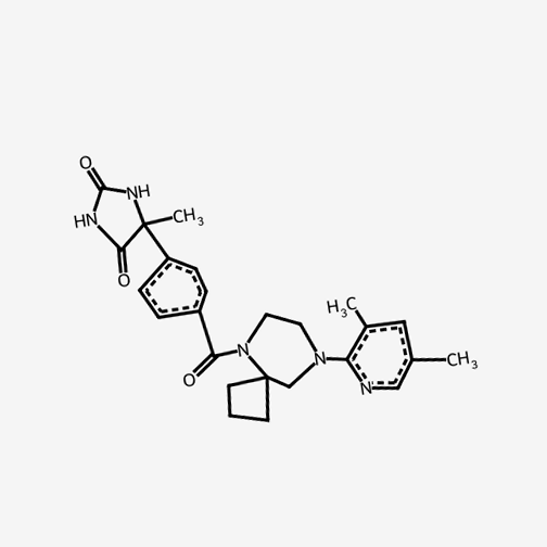 Cc1cnc(N2CCN(C(=O)c3ccc(C4(C)NC(=O)NC4=O)cc3)C3(CCC3)C2)c(C)c1